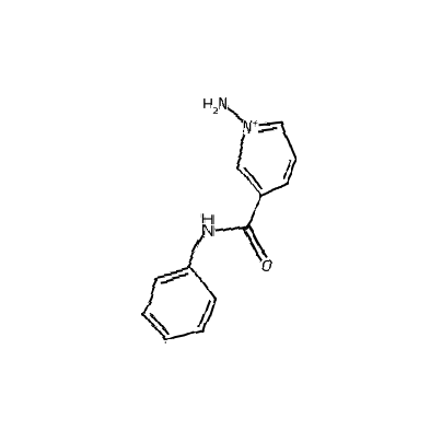 N[n+]1cccc(C(=O)Nc2cc[c]cc2)c1